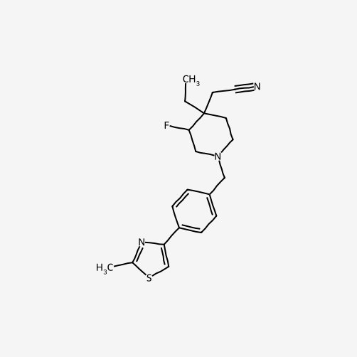 CCC1(CC#N)CCN(Cc2ccc(-c3csc(C)n3)cc2)CC1F